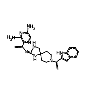 C=C(/N=C1\NCC2(CCN(C(=C)c3cc4ccccc4[nH]3)CC2)N1)c1ncc(N)nc1N